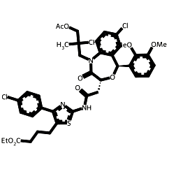 CCOC(=O)CCCc1sc(NC(=O)C[C@H]2O[C@H](c3cccc(OC)c3OC)c3cc(Cl)ccc3N(CC(C)(C)COC(C)=O)C2=O)nc1-c1ccc(Cl)cc1